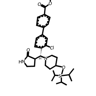 COC(=O)c1ccc(-c2ccc([C@@H](C3CCNC3=O)N3CCC(O[Si](C(C)C)(C(C)C)C(C)C)CC3)c(Cl)c2)cc1